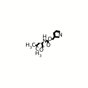 CC(C)C[C@@H]([C]=O)NC(=O)OCc1cccnc1